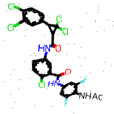 CC(=O)Nc1c(F)cc(NC(=O)c2cc(NC(=O)C3C(c4ccc(Cl)c(Cl)c4)C3(Cl)Cl)ccc2Cl)cc1F